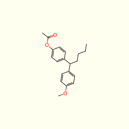 CCCCC(c1ccc(OC)cc1)c1ccc(OC(C)=O)cc1